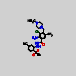 CCS(=O)(=O)c1ccc(C#N)cc1NNC(=O)c1cc(C(F)(F)F)c(CN2CCN(C(=O)O)CC2)c(Cl)c1N